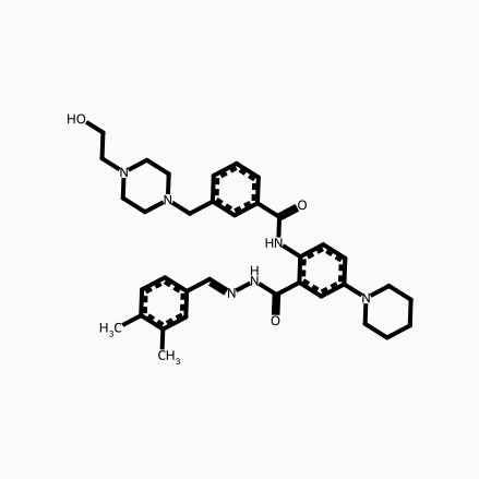 Cc1ccc(C=NNC(=O)c2cc(N3CCCCC3)ccc2NC(=O)c2cccc(CN3CCN(CCO)CC3)c2)cc1C